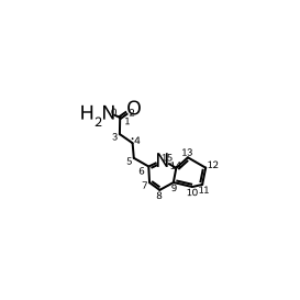 NC(=O)C[CH]Cc1ccc2ccccc2n1